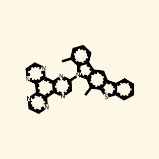 Cc1cccc2c3cc4c(sc5ccccc54)c(C)c3n(-c3cnc4c5nccnc5c5nccnc5c4n3)c12